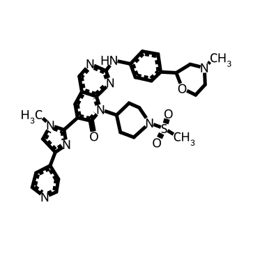 CN1CCOC(c2ccc(Nc3ncc4cc(-c5nc(-c6ccncc6)cn5C)c(=O)n(C5CCN(S(C)(=O)=O)CC5)c4n3)cc2)C1